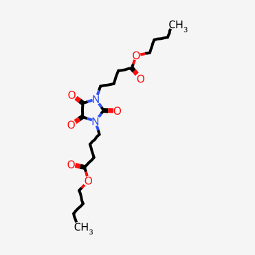 CCCCOC(=O)CCCN1C(=O)C(=O)N(CCCC(=O)OCCCC)C1=O